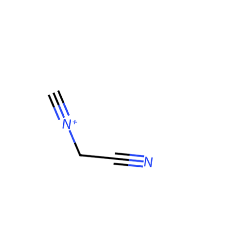 C#[N+]CC#N